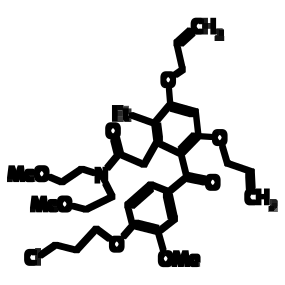 C=CCOc1cc(OCC=C)c(C(=O)c2ccc(OCCCCl)c(OC)c2)c(CC(=O)N(CCOC)CCOC)c1CC